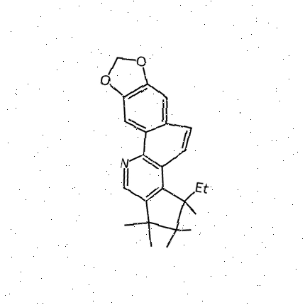 CCC1(C)c2c(cnc3c2ccc2cc4c(cc23)OCO4)C(C)(C)C1(C)C